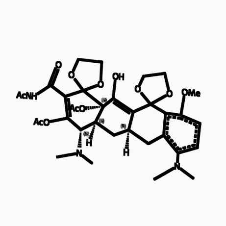 COc1ccc(N(C)C)c2c1C1(OCCO1)C1=C(O)[C@@]3(OC(C)=O)[C@@H](C[C@@H]1C2)[C@H](N(C)C)C(OC(C)=O)=C(C(=O)NC(C)=O)C31OCCO1